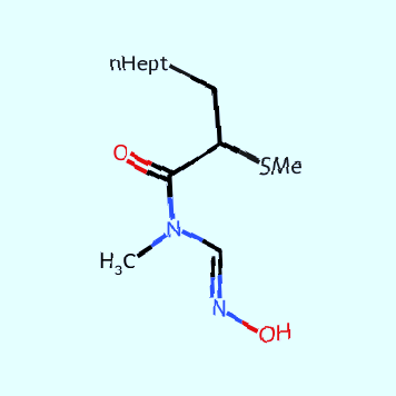 CCCCCCCCC(SC)C(=O)N(C)C=NO